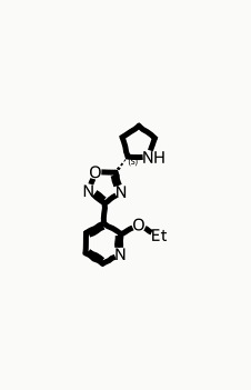 CCOc1ncccc1-c1noc([C@@H]2CCCN2)n1